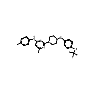 Cc1ccc(Nc2cc(C)nc(N3CCN(Sc4ccc(OC(F)(F)F)cc4)CC3)n2)cc1